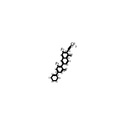 Fc1cc2cc(-c3c(F)cc(C4=CCCCC4)cc3F)ccc2c(F)c1C#CC(F)(F)F